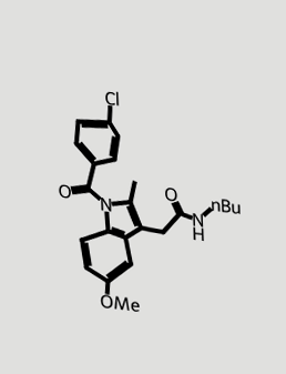 CCCCNC(=O)Cc1c(C)n(C(=O)c2ccc(Cl)cc2)c2ccc(OC)cc12